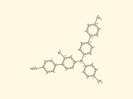 CCCCCCCCc1ccc(-c2ccc(N(c3ccc(C)cc3)c3ccc(-c4ccc(C)cc4)cc3)cc2CC)cc1